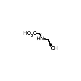 C#CCN[CH]C(=O)O